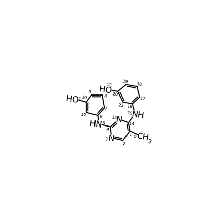 Cc1cnc(Nc2cccc(O)c2)nc1Nc1cccc(O)c1